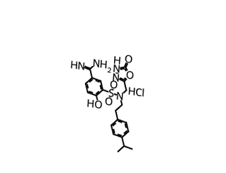 CC(C)c1ccc(CCN(Cc2n[nH]c(=O)o2)S(=O)(=O)c2cc(C(=N)N)ccc2O)cc1.Cl